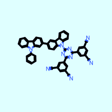 N#Cc1cc(C#N)cc(-c2nc(-c3cc(C#N)cc(C#N)c3)nc(-n3c4ccccc4c4cc(-c5ccc6c7ccccc7n(-c7ccccc7)c6c5)ccc43)n2)c1